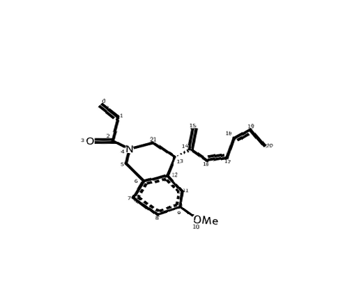 C=CC(=O)N1Cc2ccc(OC)cc2[C@@H](C(=C)/C=C\C=C/C)C1